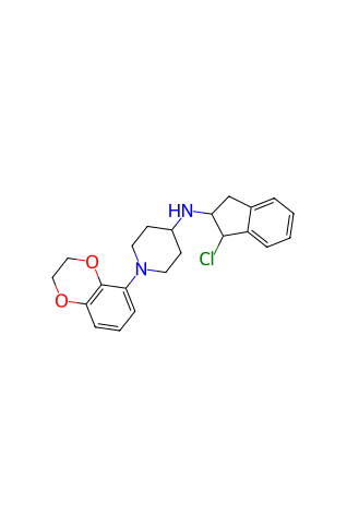 ClC1c2ccccc2CC1NC1CCN(c2cccc3c2OCCO3)CC1